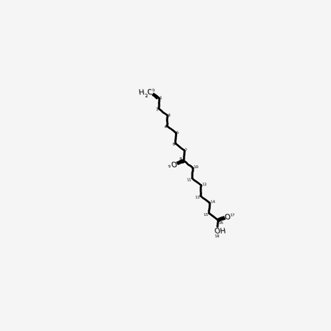 C=CCCCCCCC(=O)CCCCCCC(=O)O